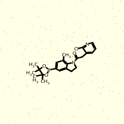 Cc1cc(B2OC(C)(C)C(C)(C)O2)cc2c1N(C(=O)Cc1cccnc1Cl)CC2